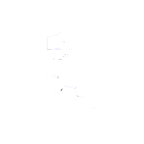 C[C@H](NC(=O)OC(C)(C)C)C(=O)OC1CC2CCC(C1)N2C